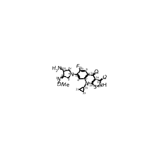 CO/N=C1\CN(c2cc3c(cc2F)c(=O)c2c(=O)[nH]sc2n3C2CC2)CC1N